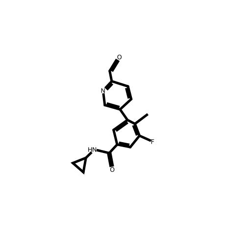 Cc1c(F)cc(C(=O)NC2CC2)cc1-c1ccc(C=O)nc1